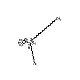 CCCCCCCCCCCCCCCCCCCCCCCCCC(=O)N[C@@H](COC1OC(C)[C@@H](O)[C@H](O)C1O)[C@H](O)[C@H](O)CCCCCCCCCCCCCC